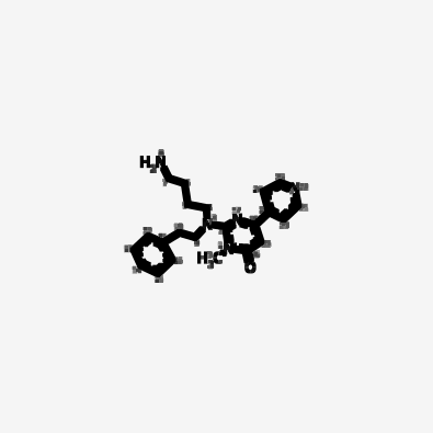 Cn1c(N(CCCCN)CCc2ccccc2)nc(-c2ccncc2)cc1=O